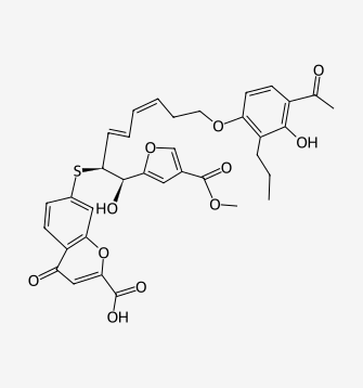 CCCc1c(OCC/C=C\C=C\[C@H](Sc2ccc3c(=O)cc(C(=O)O)oc3c2)[C@H](O)c2cc(C(=O)OC)co2)ccc(C(C)=O)c1O